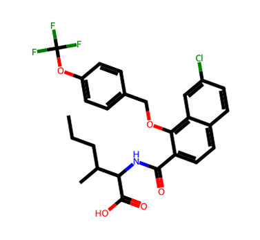 CCCC(C)C(NC(=O)c1ccc2ccc(Cl)cc2c1OCc1ccc(OC(F)(F)F)cc1)C(=O)O